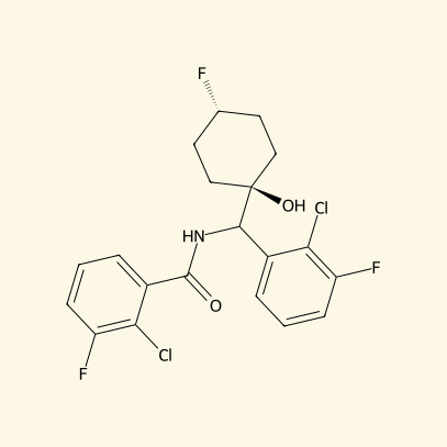 O=C(NC(c1cccc(F)c1Cl)[C@]1(O)CC[C@H](F)CC1)c1cccc(F)c1Cl